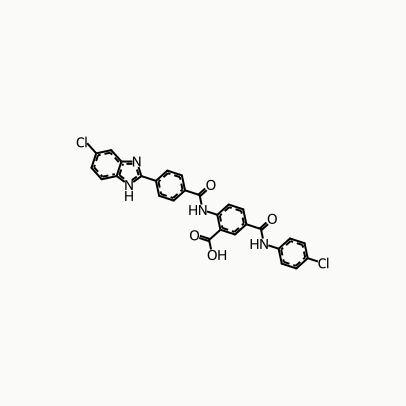 O=C(Nc1ccc(Cl)cc1)c1ccc(NC(=O)c2ccc(-c3nc4cc(Cl)ccc4[nH]3)cc2)c(C(=O)O)c1